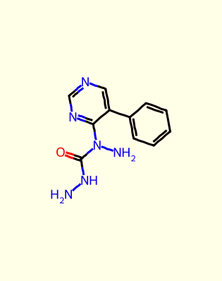 NNC(=O)N(N)c1ncncc1-c1ccccc1